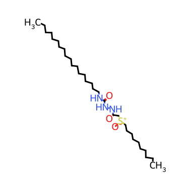 CCCCCCCCCCCCCCCCCCNC(=O)NNC(=O)C[S+]([O-])CCCCCCCCCC